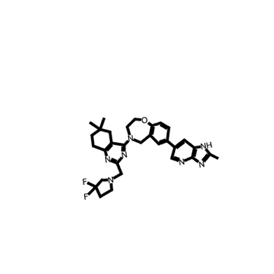 Cc1nc2ncc(-c3ccc4c(c3)CN(c3nc(CN5CCC(F)(F)C5)nc5c3CC(C)(C)CC5)CCO4)cc2[nH]1